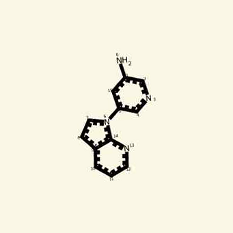 Nc1cncc(-n2ccc3c[c]cnc32)c1